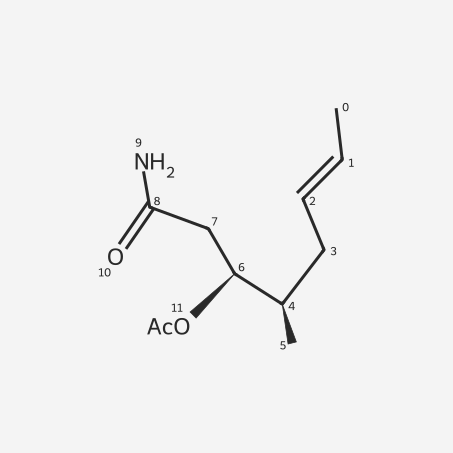 C/C=C/C[C@@H](C)[C@H](CC(N)=O)OC(C)=O